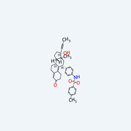 CC#C[C@]1(O)CC[C@H]2[C@@H]3CCC4=CC(=O)CCC4=C3[C@@H](c3ccc(NS(=O)(=O)c4ccc(C)cc4)cc3)C[C@@]21C